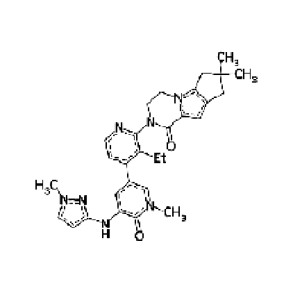 CCc1c(-c2cc(Nc3ccn(C)n3)c(=O)n(C)c2)ccnc1N1CCn2c(cc3c2CC(C)(C)C3)C1=O